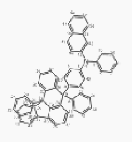 c1ccc(N(c2ccc(C3(c4ccccc4)c4ccccc4C4(c5ccccc5)c5ccccc5-c5cccc3c54)cc2)c2ccc3ccccc3c2)cc1